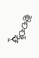 CC(C)(C)OC(=O)N1CCC(N2CCC(Nc3ncc(F)cn3)CC2)CC1